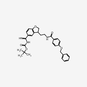 CC(C)(C)OC(=O)NC(=N)c1ccc2c(c1)C(CCNC(=O)c1ccc(OCc3ccccc3)cc1)CO2